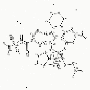 COc1ccc2c(c1)C1CC1(C(=O)N1C3CCC1CC(NCCN(C)C)C3)Cn1c-2c(C2CCCCC2)c2ccc(C(=O)NS(=O)(=O)N(C)C)cc21